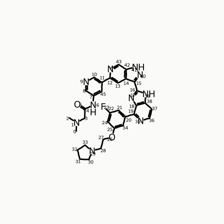 CN(C)CC(=O)Nc1cncc(-c2cc3c(-c4nc5c(-c6cc(F)cc(OCCN7CCCC7)c6)nccc5[nH]4)n[nH]c3cn2)c1